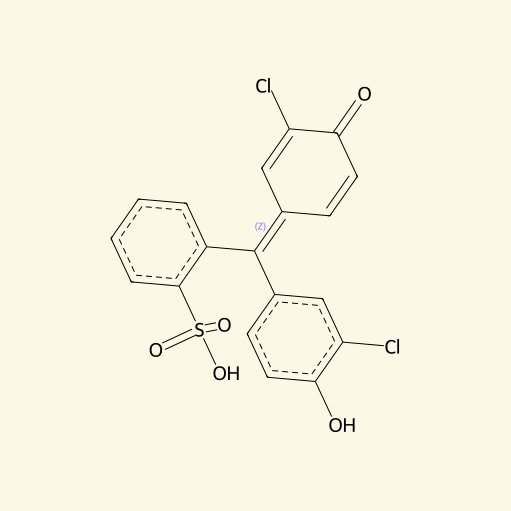 O=C1C=C/C(=C(\c2ccc(O)c(Cl)c2)c2ccccc2S(=O)(=O)O)C=C1Cl